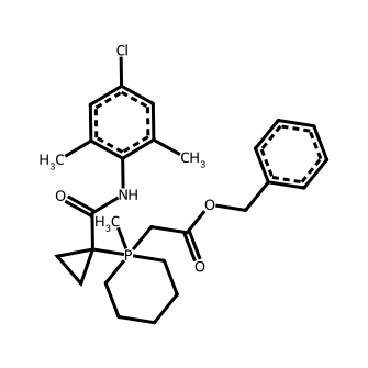 Cc1cc(Cl)cc(C)c1NC(=O)C1(P2(C)(CC(=O)OCc3ccccc3)CCCCC2)CC1